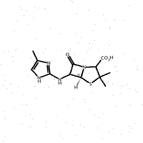 Cc1c[nH]c(NC2C(=O)N3C(C(=O)O)C(C)(C)S[C@@H]23)n1